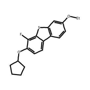 CCOc1ccc2c(c1)sc1c(F)c(OC3CCCC3)ccc12